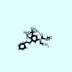 C=CN(C(=O)NC=O)c1cc(CCc2ccccc2)c(OC)c(C(C)(C)C)c1